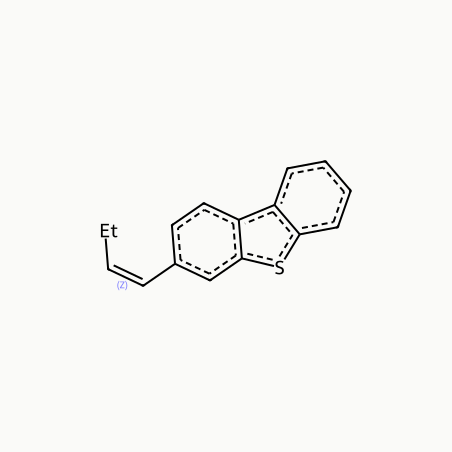 CC/C=C\c1ccc2c(c1)sc1ccccc12